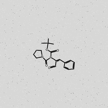 CC(C)(C)OC(=O)N(C(=O)N1CCCC1)C([C]=O)=Cc1ccccc1